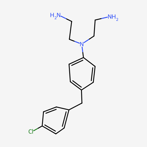 NCCN(CCN)c1ccc(Cc2ccc(Cl)cc2)cc1